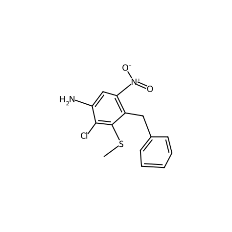 CSc1c(Cl)c(N)cc([N+](=O)[O-])c1Cc1ccccc1